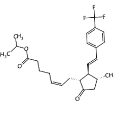 CC(C)OC(=O)CCC/C=C\C[C@H]1C(=O)C[C@@H](C)[C@@H]1/C=C/c1ccc(C(F)(F)F)cc1